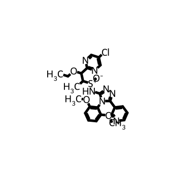 CCOC(c1ncc(Cl)cn1)C(C)[S+]([O-])Nc1nnc(-c2cccnc2)n1-c1c(OC)cccc1OC